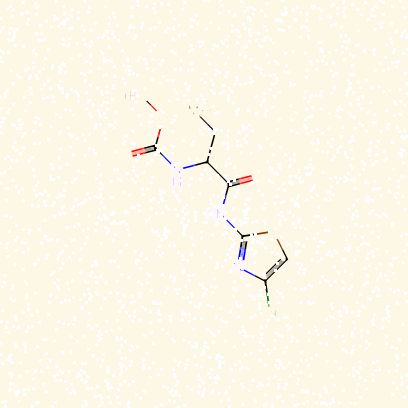 COCC(NC(=O)OC(C)(C)C)C(=O)Nc1nc(Br)cs1